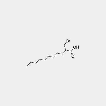 CCCCCCCCCC(CBr)C(=O)O